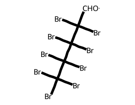 O=[C]C(Br)(Br)C(Br)(Br)C(Br)(Br)C(Br)(Br)Br